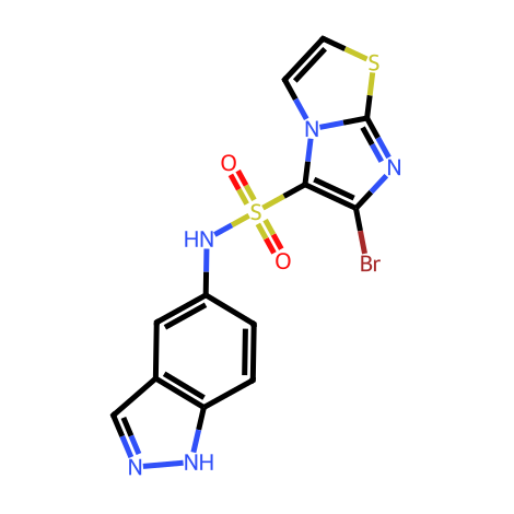 O=S(=O)(Nc1ccc2[nH]ncc2c1)c1c(Br)nc2sccn12